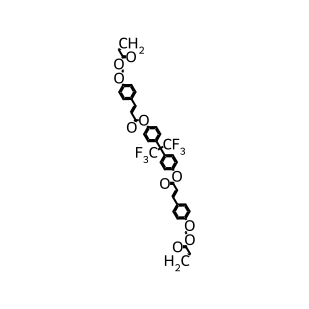 C=CC(=O)OCOc1ccc(C=CC(=O)Oc2ccc(C(c3ccc(OC(=O)C=Cc4ccc(OCOC(=O)C=C)cc4)cc3)(C(F)(F)F)C(F)(F)F)cc2)cc1